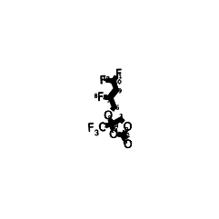 O=C1OCC(OCC(F)=CC(F)F)(C(F)(F)F)O1